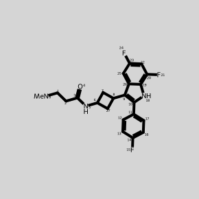 CNCCC(=O)NC1CC(c2c(-c3ccc(F)cc3)[nH]c3c(F)cc(F)cc23)C1